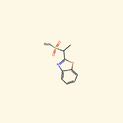 CNS(=O)(=O)C(C)c1nc2ccccc2s1